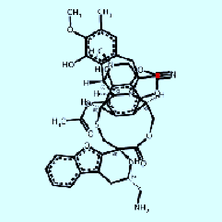 COc1c(C)cc2c(c1O)[C@H]1[C@@H]3[C@@H]4SC[C@]5(N[C@H](CN)Cc6c5oc5ccccc65)C(=O)OC[C@@H](c5c6c(c(C)c(OC(C)=O)c54)OCO6)N3C(C#N)(C2)CN1C